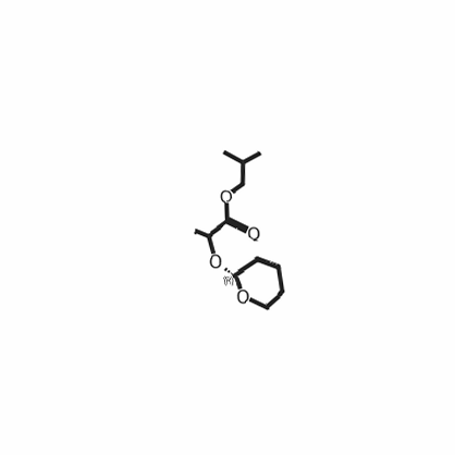 CC(C)COC(=O)C(C)O[C@@H]1CCCCO1